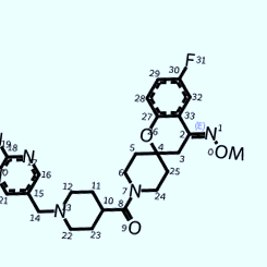 CO/N=C1\CC2(CCN(C(=O)C3CCN(Cc4cnc(N)nc4)CC3)CC2)Oc2ccc(F)cc21